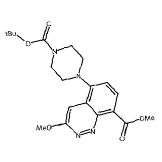 COC(=O)c1ccc(N2CCN(C(=O)OC(C)(C)C)CC2)c2cc(OC)nnc12